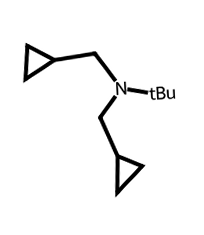 CC(C)(C)N(CC1CC1)CC1CC1